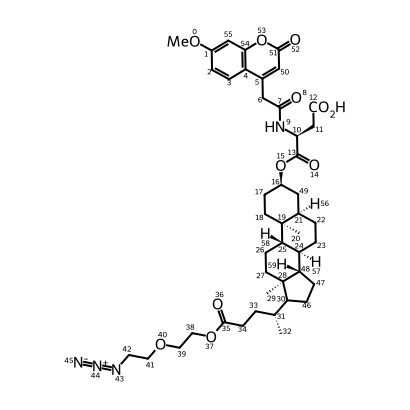 COc1ccc2c(CC(=O)N[C@@H](CC(=O)O)C(=O)O[C@@H]3CC[C@@]4(C)[C@H](CC[C@@H]5[C@@H]4CC[C@]4(C)C([C@H](C)CCC(=O)OCCOCCN=[N+]=[N-])CC[C@@H]54)C3)cc(=O)oc2c1